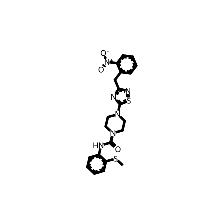 CSc1ccccc1NC(=O)N1CCN(c2nc(Cc3ccccc3[N+](=O)[O-])ns2)CC1